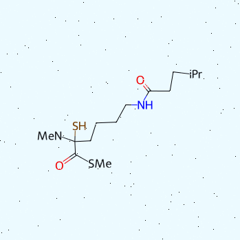 CNC(S)(CCCCNC(=O)CCC(C)C)C(=O)SC